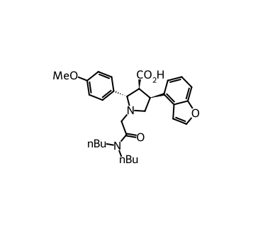 CCCCN(CCCC)C(=O)CN1C[C@H](c2cccc3occc23)[C@H](C(=O)O)[C@H]1c1ccc(OC)cc1